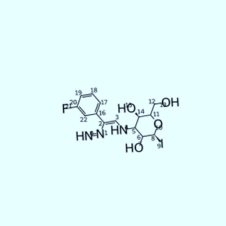 N=N/C(=C\NC1C(O)[C@H](I)OC(CO)[C@@H]1O)c1cccc(F)c1